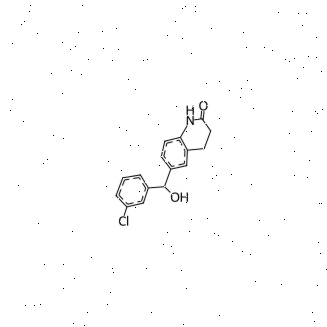 O=C1CCc2cc(C(O)c3cccc(Cl)c3)ccc2N1